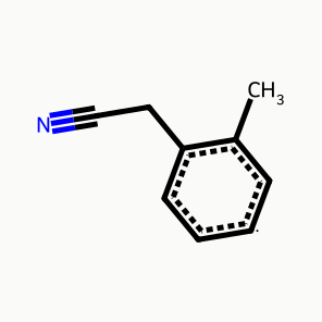 Cc1c[c]ccc1CC#N